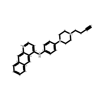 C#CCCN1CCN(c2ccc(Nc3ccnc4cc5ccccc5cc34)cc2)CC1